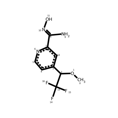 COC(c1ccnc(C(N)=NO)c1)C(F)(F)F